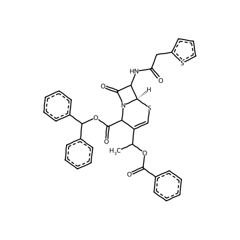 CC(OC(=O)c1ccccc1)C1=CS[C@@H]2C(NC(=O)Cc3cccs3)C(=O)N2C1C(=O)OC(c1ccccc1)c1ccccc1